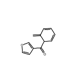 C=C1C=CC=CC1C(=O)c1ccoc1